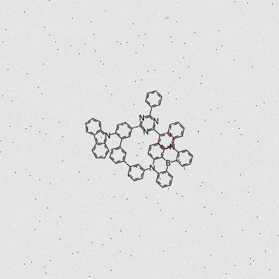 c1ccc(-c2nc(-c3ccccc3)nc(-c3ccc(-n4c5ccccc5c5ccccc54)c(-c4cccc(-c5cccc(N6c7ccccc7B7c8ccccc8N(c8ccccc8)c8cccc6c87)c5)c4)c3)n2)cc1